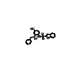 N#Cc1ccc(NS(=O)(=O)c2cc3ccccc3o2)c([S+]([O-])Cc2ccccc2)c1